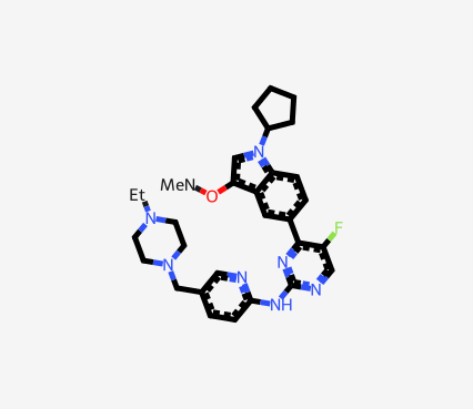 CCN1CCN(Cc2ccc(Nc3ncc(F)c(-c4ccc5c(c4)c(ONC)cn5C4CCCC4)n3)nc2)CC1